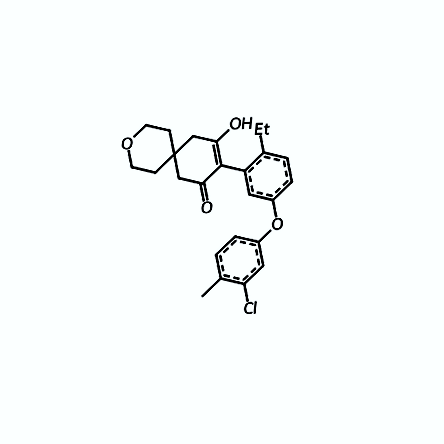 CCc1ccc(Oc2ccc(C)c(Cl)c2)cc1C1=C(O)CC2(CCOCC2)CC1=O